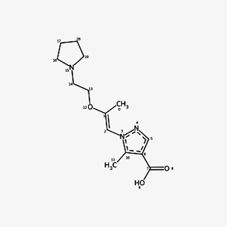 C/C(=C\n1ncc(C(=O)O)c1C)OCCN1CCCC1